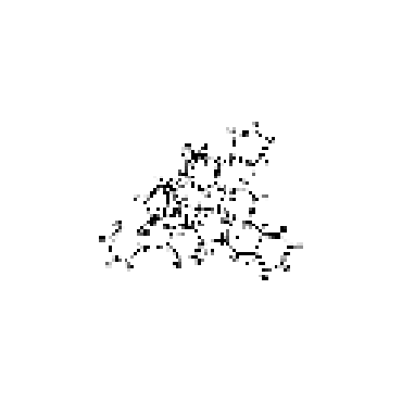 CCc1ccc(-c2ccccc2)cc1C1(c2cc(-c3ccccc3)ccc2CC)c2ccccc2N2Cc3ccccc3-c3cccc1c32